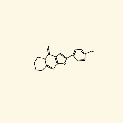 O=c1c2cc(-c3ccc(Cl)cc3)oc2nc2n1CCCC2